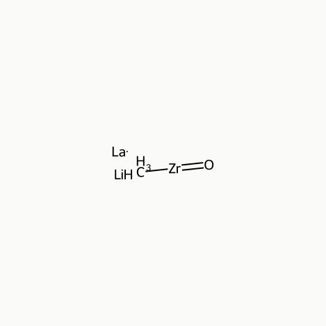 [CH3][Zr]=[O].[La].[LiH]